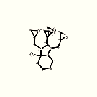 CC1(N(CC2CO2)CC2CO2)CCCCC1N(CC1CO1)CC1CO1